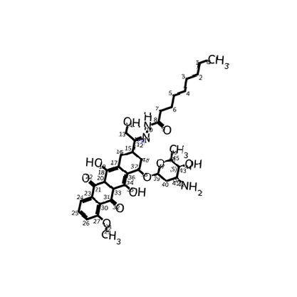 CCCCCCCCC(=O)N/N=C(\CO)C1CC2=C(O)C3C(=O)c4cccc(OC)c4C(=O)C3C(O)=C2C(OC2C[C@H](N)[C@H](O)[C@H](C)O2)C1